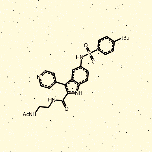 CC(=O)NCCNC(=O)c1[nH]c2ccc(NS(=O)(=O)c3ccc(C(C)(C)C)cc3)cc2c1-c1ccncc1